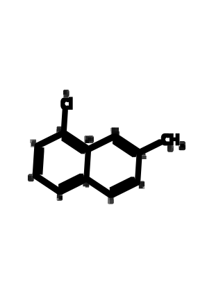 Cc1ccc2cccc(Cl)c2c1